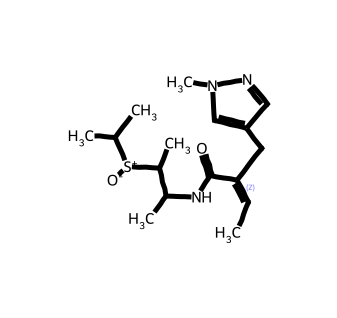 C/C=C(/Cc1cnn(C)c1)C(=O)NC(C)C(C)[S+]([O-])C(C)C